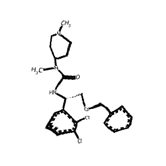 CN1CCC(N(C)C(=O)N[C@H](COCc2ccccc2)c2cccc(Cl)c2Cl)CC1